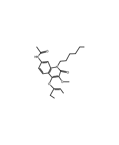 CC=C(CC)Oc1c(OC)c(=O)n(CCCCCC)c2cc(NC(C)=O)ccc12